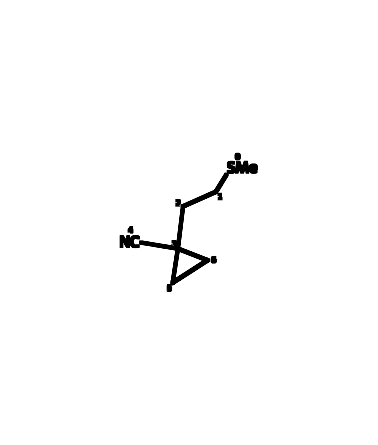 CSCCC1(C#N)CC1